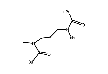 CCCC(=O)N(CCC)CCCN(C)C(=O)C(C)CC